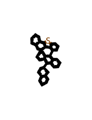 c1ccc2cc(-c3c4ccccc4c(-c4cccc5sc6c7ccccc7ccc6c45)c4ccccc34)ccc2c1